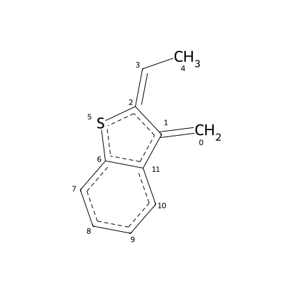 C=c1/c(=C\C)sc2ccccc12